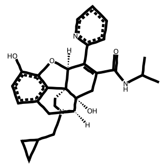 CC(C)NC(=O)C1=C(c2ccccn2)[C@@H]2Oc3c(O)ccc4c3[C@@]23CCN(CC2CC2)[C@H](C4)[C@]3(O)C1